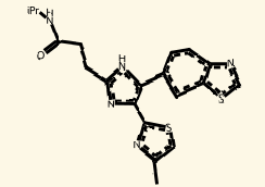 Cc1csc(-c2nc(CCC(=O)NC(C)C)[nH]c2-c2ccc3ncsc3c2)n1